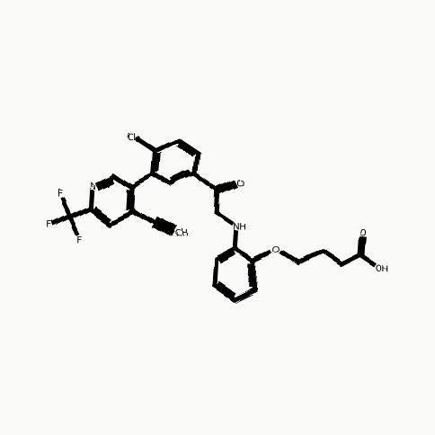 C#Cc1cc(C(F)(F)F)ncc1-c1cc(C(=O)CNc2ccccc2OCCCC(=O)O)ccc1Cl